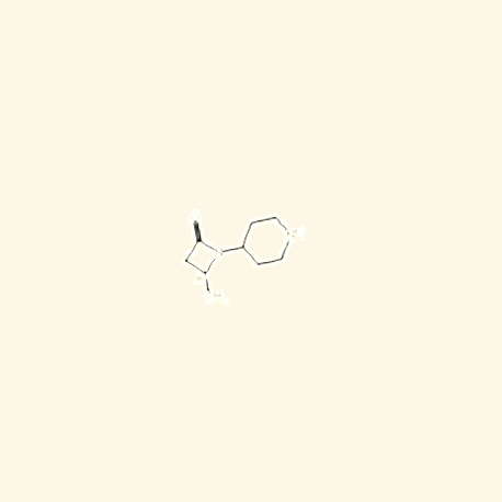 C[C@H]1CC(=O)N1C1CCNCC1